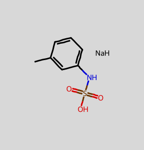 Cc1cccc(NS(=O)(=O)O)c1.[NaH]